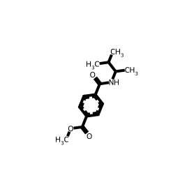 COC(=O)c1ccc(C(=O)NC(C)C(C)C)cc1